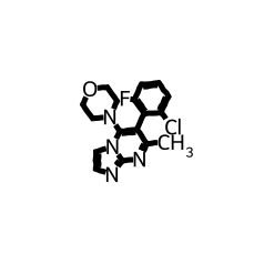 Cc1nc2nccn2c(N2CCOCC2)c1-c1c(F)cccc1Cl